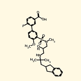 COc1ccc(-c2cc(C(=O)O)ccc2F)cc1S(=O)(=O)N(C)CC(O)CNC(C)(C)CC1Cc2ccccc2C1